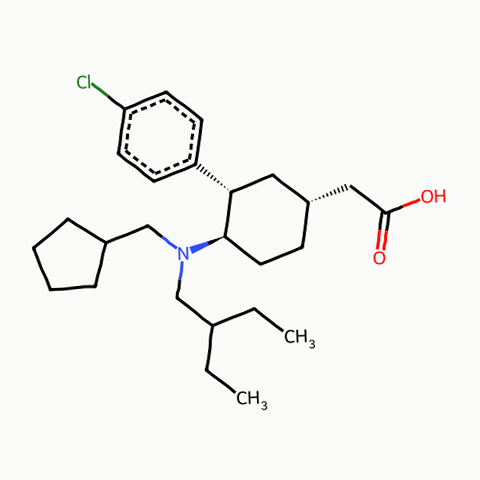 CCC(CC)CN(CC1CCCC1)[C@@H]1CC[C@@H](CC(=O)O)C[C@H]1c1ccc(Cl)cc1